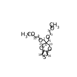 COCCOCC1(COCCOC)COc2cscc2OC1